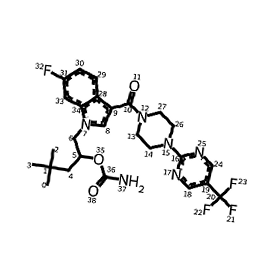 CC(C)(C)CC(Cn1cc(C(=O)N2CCN(c3ncc(C(F)(F)F)cn3)CC2)c2ccc(F)cc21)OC(N)=O